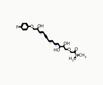 CN(C)C(=O)COCC(O)C(O)/C=C/C=C/C#C/C=C/C(O)COc1ccc(F)cc1